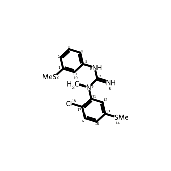 CSc1cccc(NC(=N)N(C)c2cc(SC)ccc2Cl)c1